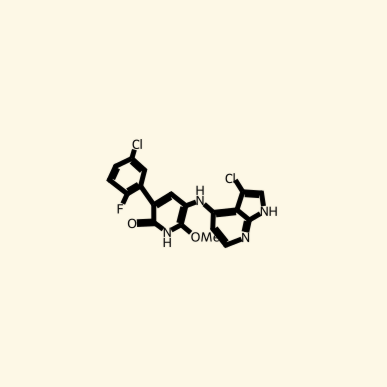 COc1[nH]c(=O)c(-c2cc(Cl)ccc2F)cc1Nc1ccnc2[nH]cc(Cl)c12